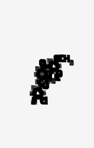 COc1cc(OC)c(Cl)c(C(=O)N2CCN3C[C@@H](c4ccc(F)c(Cl)c4)OC[C@@H]3C2)c1